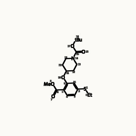 CCSc1ccc(C(=O)OC)c(OC2CCN(C(=O)OC(C)(C)C)CC2)c1